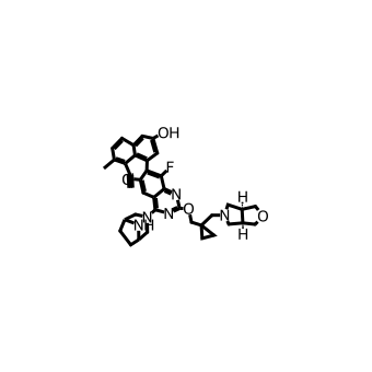 C#Cc1c(C)ccc2cc(O)cc(-c3c(Cl)cc4c(N5CC6CCC(C5)N6)nc(OCC5(CN6C[C@H]7COC[C@H]7C6)CC5)nc4c3F)c12